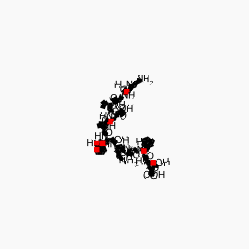 CC(C)C[C@@H](CC(=O)N[C@@H](CCC(=O)O)CC(=O)N[C@H](CC(=O)N[C@H](CC(=O)N[C@@H](CCCN)CC(=O)N[C@H](CC(=O)N[C@H](CC(=O)N[C@@H](CCC(=O)O)CC(=O)O)Cc1ccccc1)C(C)C)Cc1c[nH]c2ccccc12)C(C)C)NC(=O)CCNC(=O)C[C@@H](N)CCCN